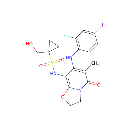 Cc1c(Nc2ccc(I)cc2F)c(NS(=O)(=O)C2(CO)CC2)c2n(c1=O)CCO2